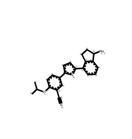 CC(C)Oc1ccc(-c2ccc(-c3cccc4c3CCC4N)s2)cc1C#N